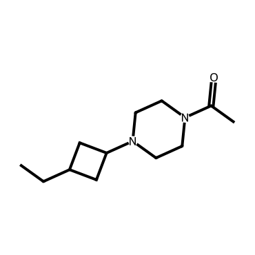 CCC1CC(N2CCN(C(C)=O)CC2)C1